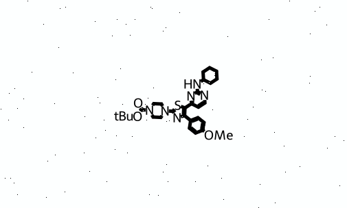 COc1ccc(-c2nc(N3CCN(C(=O)OC(C)(C)C)CC3)sc2-c2ccnc(NC3CCCCC3)n2)cc1